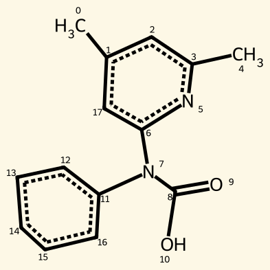 Cc1cc(C)nc(N(C(=O)O)c2ccccc2)c1